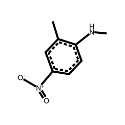 CNc1ccc([N+](=O)[O-])cc1C